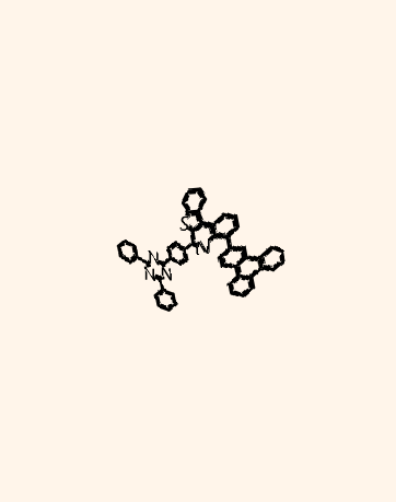 c1ccc(-c2nc(-c3ccccc3)nc(-c3ccc(-c4nc5c(-c6ccc7c8ccccc8c8ccccc8c7c6)cccc5c5c4sc4ccccc45)cc3)n2)cc1